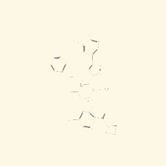 CO[C@H]1C(n2cc(-c3cc(F)c(F)c(F)c3)nn2)[C@H]2OC(c3ccccc3)OCC2O[C@@H]1Sc1cc(Cl)cnc1C(=O)N1CCC1